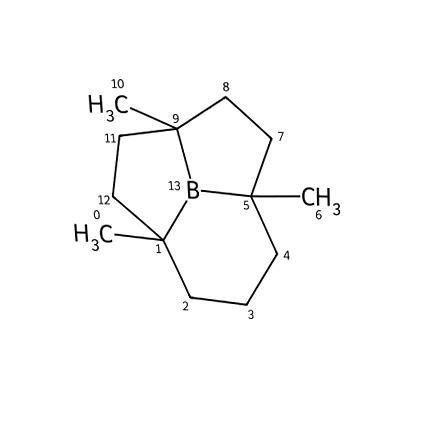 CC12CCCC3(C)CCC(C)(CC1)B23